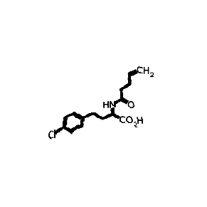 C=CCCC(=O)NC(CCc1ccc(Cl)cc1)C(=O)O